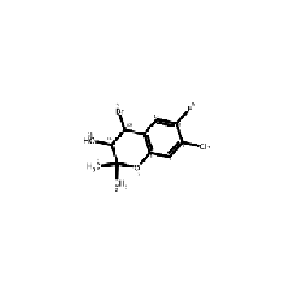 CC1(C)Oc2cc(Cl)c(F)cc2C(Br)C1O